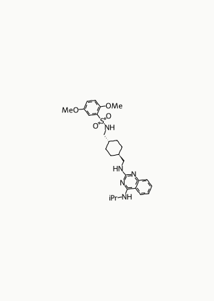 COc1ccc(OC)c(S(=O)(=O)NC[C@H]2CC[C@H](CNc3nc(NC(C)C)c4ccccc4n3)CC2)c1